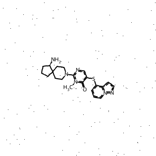 Cn1c(N2CCC3(CCC[C@H]3N)CC2)ncc(Sc2cccn3nccc23)c1=O